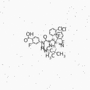 CN1[C@@H](CC(C)(C)C)[C@](C#N)(c2ccc(Cl)cc2F)[C@@H](c2cccc(Cl)c2F)[C@@H]1C(=O)Nc1ccc(C(=O)O)c(F)c1